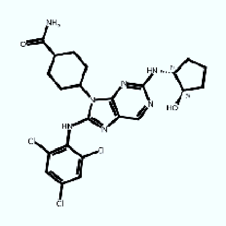 NC(=O)C1CCC(n2c(Nc3c(Cl)cc(Cl)cc3Cl)nc3cnc(N[C@@H]4CCC[C@H]4O)nc32)CC1